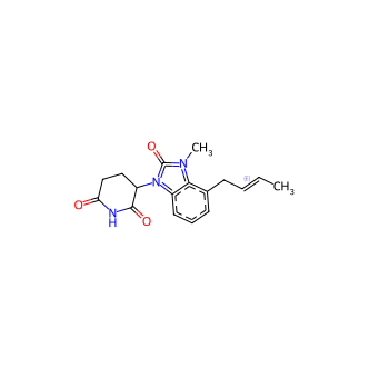 C/C=C/Cc1cccc2c1n(C)c(=O)n2C1CCC(=O)NC1=O